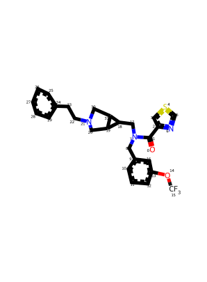 O=C(c1cscn1)N(Cc1cccc(OC(F)(F)F)c1)CC1C2CN(CCc3ccccc3)CC21